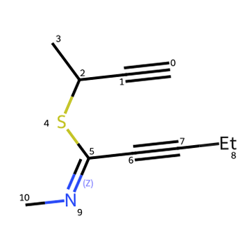 C#CC(C)S/C(C#CCC)=N\C